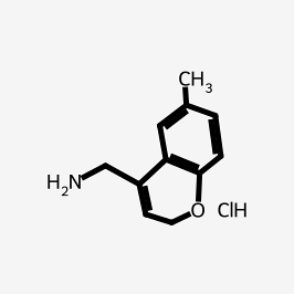 Cc1ccc2c(c1)C(CN)=CCO2.Cl